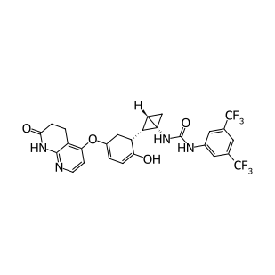 O=C1CCc2c(OC3=CC=C(O)C([C@@H]4[C@@H]5C[C@@]45NC(=O)Nc4cc(C(F)(F)F)cc(C(F)(F)F)c4)C3)ccnc2N1